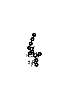 CC1=C=C(c2ccc3c(c2)C(C)(C)c2ccccc2-3)c2sc3ccccc3c2N=C1c1cc2c(c3ccccc13)-c1cccc(-c3ccc(-c4ccc(-c5ccccc5)cc4)cc3)c1C1CC21